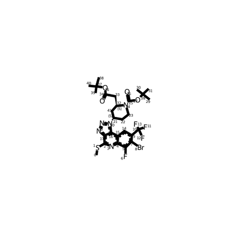 CSc1nc2c(F)c(Br)c(C(F)(F)F)cc2c2c1nnn2[C@H]1CCN(C(=O)OC(C)(C)C)[C@H](CC(=O)OC(C)(C)C)C1